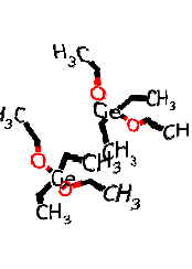 CC[O][Ge]([CH2]C)([CH2]C)[O]CC.CC[O][Ge]([CH2]C)([CH2]C)[O]CC